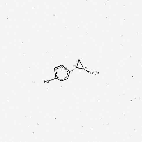 CCOC(=O)[C@@H]1C[C@H]1c1ccc(O)cc1